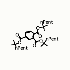 CCCCCC(C)(C)OC(=O)c1ccc(C(=O)OC(C)(C)CCCCC)c(C(=O)OC(C)(C)CCCCC)c1